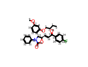 CCCCOc1cc(OC)ccc1[C@@H]1[C@@H](/C=C/C(=O)c2ccc(F)cc2)OC(=O)N1c1ccccc1